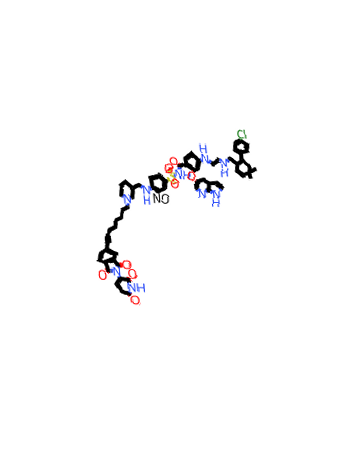 CC1(C)CCC(CNCCNc2ccc(C(=O)NS(=O)(=O)c3ccc(NCC4CCCN(CCCCCCC#Cc5ccc6c(c5)C(=O)N(C5CCC(=O)NC5=O)C6=O)C4)c(N=O)c3)c(Oc3cnc4[nH]ccc4c3)c2)=C(c2ccc(Cl)cc2)C1